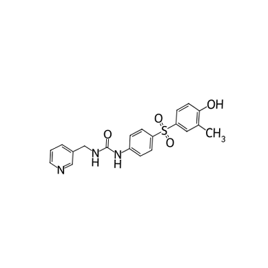 Cc1cc(S(=O)(=O)c2ccc(NC(=O)NCc3cccnc3)cc2)ccc1O